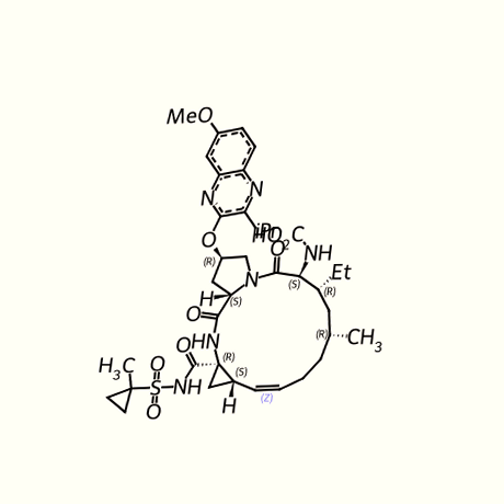 CC[C@@H]1C[C@H](C)CC/C=C\[C@@H]2C[C@@]2(C(=O)NS(=O)(=O)C2(C)CC2)NC(=O)[C@@H]2C[C@@H](Oc3nc4cc(OC)ccc4nc3C(C)C)CN2C(=O)[C@H]1NC(=O)O